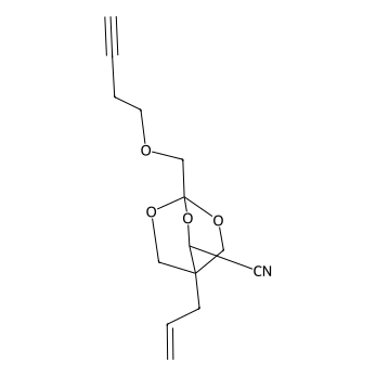 C#CCCOCC12OCC(CC=C)(CO1)C(C#N)O2